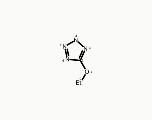 CCOC1=N[N]N=N1